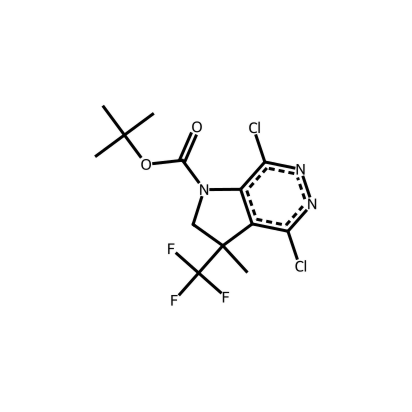 CC(C)(C)OC(=O)N1CC(C)(C(F)(F)F)c2c(Cl)nnc(Cl)c21